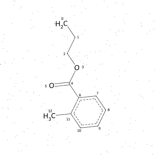 [CH2]CCOC(=O)c1ccccc1C